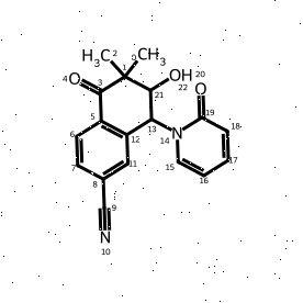 CC1(C)C(=O)c2ccc(C#N)cc2C(n2ccccc2=O)C1O